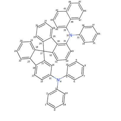 c1ccc(N(c2ccccc2)c2ccc3c(c2)C2(c4ccccc4-3)c3ccccc3-c3c(N(c4ccccc4)c4cccc5ccccc45)cccc32)cc1